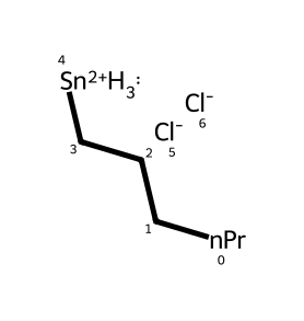 CCCCC[CH2][SnH3+2].[Cl-].[Cl-]